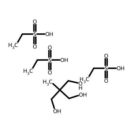 CC(CO)(CO)CO.CCS(=O)(=O)O.CCS(=O)(=O)O.CCS(=O)(=O)O